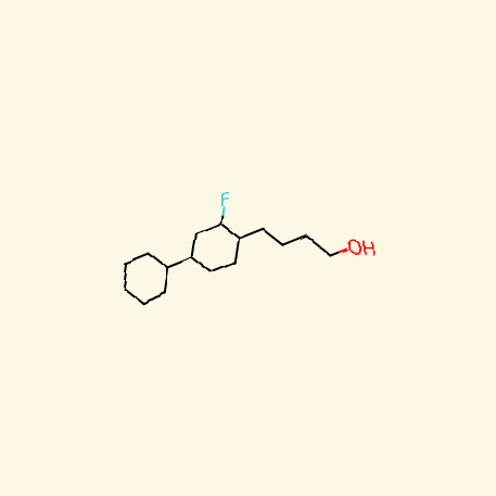 OCCCCC1CCC(C2CCCCC2)CC1F